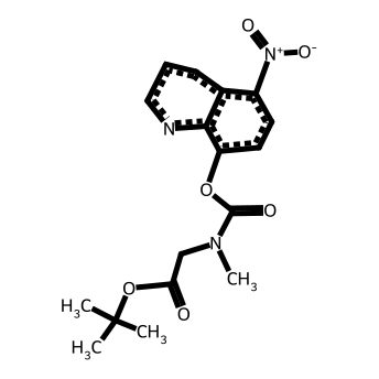 CN(CC(=O)OC(C)(C)C)C(=O)Oc1ccc([N+](=O)[O-])c2cccnc12